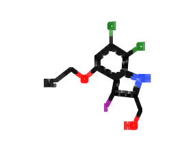 N#CCOc1cc(Cl)c(Cl)c2[nH]c(CO)c(I)c12